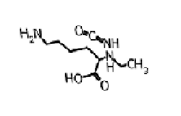 CCNC(CCCCN)C(=O)O.N=C=O